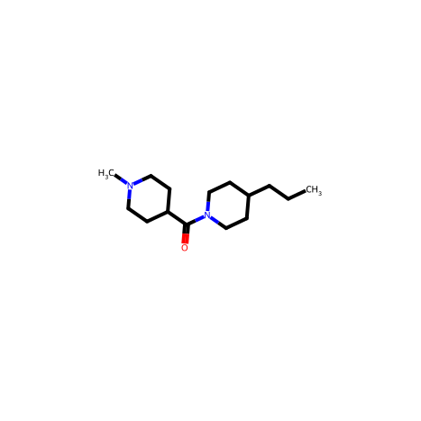 CCCC1CCN(C(=O)C2CCN(C)CC2)CC1